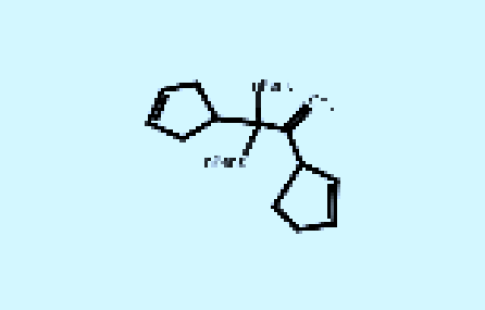 C=C(C1C=CCC1)C(CCCCC)(CCCCC)C1CC=CC1